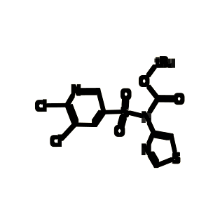 CC(C)(C)OC(=O)N(c1cscn1)S(=O)(=O)c1cnc(Cl)c(Cl)c1